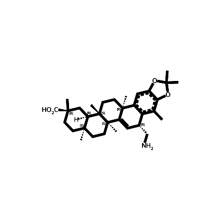 Cc1c2c(cc3c1[C@H](CN)C=C1[C@@]3(C)CC[C@@]3(C)[C@@H]4C[C@](C)(C(=O)O)CC[C@]4(C)CC[C@]13C)OC(C)(C)O2